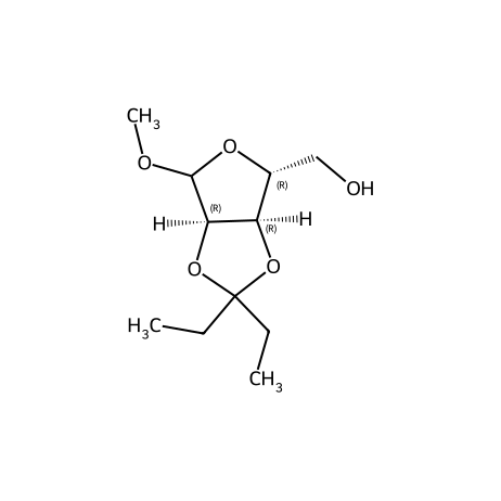 CCC1(CC)O[C@@H]2[C@@H](CO)OC(OC)[C@@H]2O1